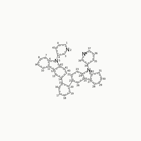 c1cncc(-n2c3ccccc3c3cc(-c4ccccc4-c4ccc5c(c4)c4ccccc4n5-c4cccnc4)ccc32)c1